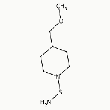 COCC1CCN(SN)CC1